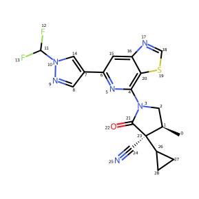 C[C@@H]1CN(c2nc(-c3cnn(C(F)F)c3)cc3ncsc23)C(=O)[C@]1(C#N)C1CC1